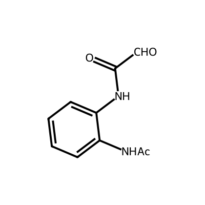 CC(=O)Nc1ccccc1NC(=O)C=O